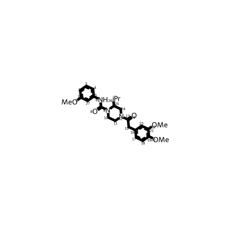 COc1cccc(NC(=O)N2CCN(C(=O)Cc3ccc(OC)c(OC)c3)CC2C(C)C)c1